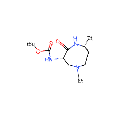 CC[C@@H]1CCN(CC)C[C@H](NC(=O)OC(C)(C)C)C(=O)N1